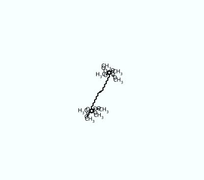 COCOc1cc(OC)c(OCOC)c(CCCCCCCCCC#CCCCCCCCCCc2c(OC)c(OCOC)cc(OC)c2OCOC)c1OC